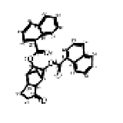 O=C(OC1C2CC(C1OC(=O)c1cccc3ccccc13)C1C(=O)CCC21)c1cccc2ccccc12